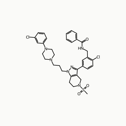 CS(=O)(=O)N1CCc2c(c(-c3ccc(Cl)c(CNC(=O)c4ccccc4)c3)nn2CCCN2CCN(c3cccc(Cl)c3)CC2)C1